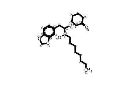 CCCCCCCC[S+]([O-])C(C)Cc1ccc2c(c1)OCO2.O=C1CCCCC1